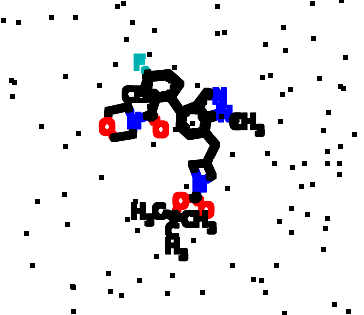 C[C@@H]1COCCN1C(=O)c1cc(F)ccc1-c1ccc(CC2CN(C(=O)OC(C)(C)C)C2)c2c1cnn2C